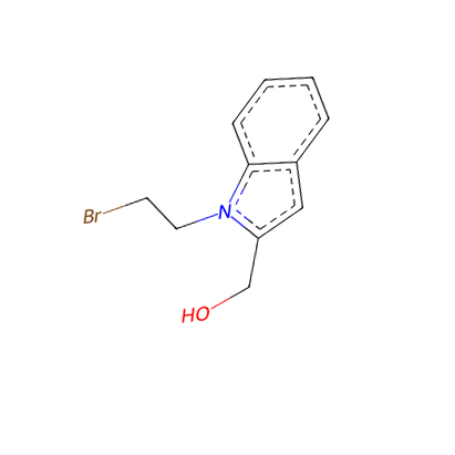 OCc1cc2ccccc2n1CCBr